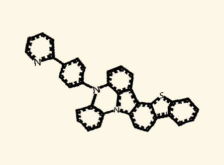 c1ccc(-c2ccc(N3c4ccccc4-n4c5ccc6c7ccccc7sc6c5c5cccc3c54)cc2)nc1